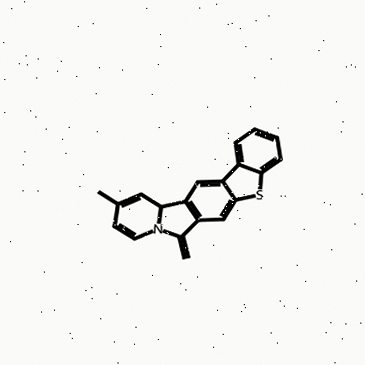 C=C1c2cc3sc4ccccc4c3cc2C2C=C(C)C=CN12